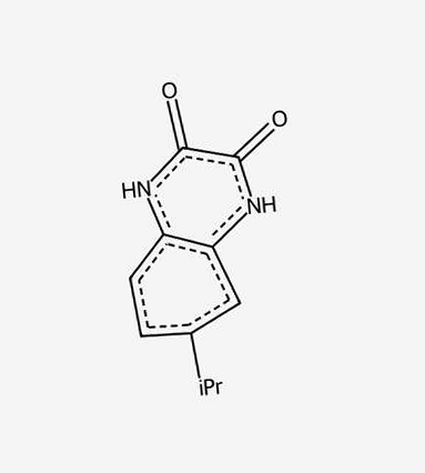 CC(C)c1ccc2[nH]c(=O)c(=O)[nH]c2c1